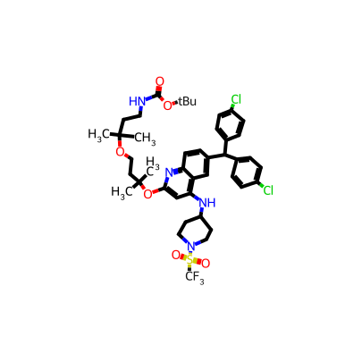 CC(C)(C)OC(=O)NCCC(C)(C)OCCC(C)(C)Oc1cc(NC2CCN(S(=O)(=O)C(F)(F)F)CC2)c2cc(C(c3ccc(Cl)cc3)c3ccc(Cl)cc3)ccc2n1